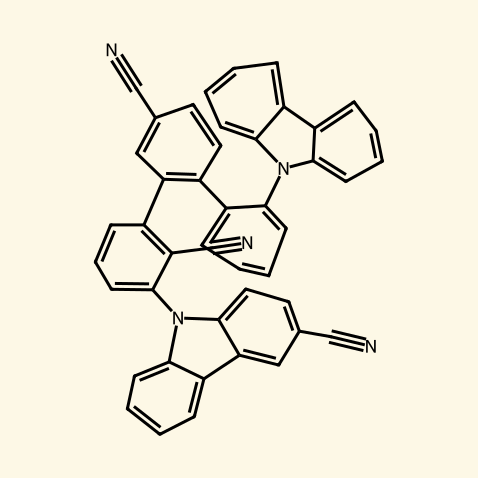 N#Cc1ccc(-c2ccccc2-n2c3ccccc3c3ccccc32)c(-c2cccc(-n3c4ccccc4c4cc(C#N)ccc43)c2C#N)c1